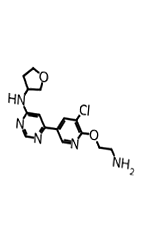 NCCOc1ncc(-c2cc(NC3CCOC3)ncn2)cc1Cl